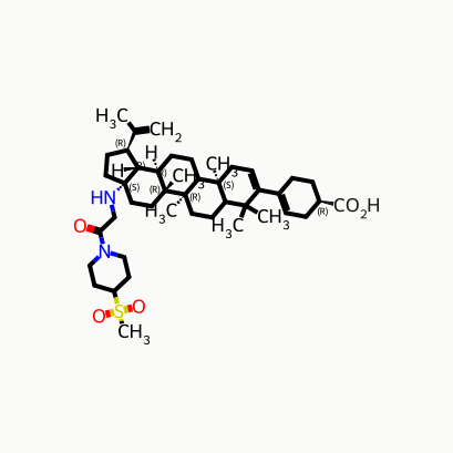 C=C(C)[C@@H]1CC[C@]2(NCC(=O)N3CCC(S(C)(=O)=O)CC3)CC[C@]3(C)[C@H](CCC4[C@@]5(C)CC=C(C6=CC[C@H](C(=O)O)CC6)C(C)(C)C5CC[C@]43C)[C@@H]12